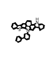 c1ccc(-c2cccc(-n3c4cc5c6ccccc6[nH]c5c5ccc6cc7c8ccccc8sc7c3c6c54)c2)cc1